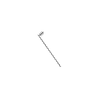 CCCCCCCCCCCCCCCCCCCCCCCCCCCCC(C)C(C)(C)C(C)(C)C(C)(C)C